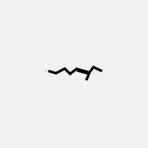 [CH2]CCC/C=C(\C)CC